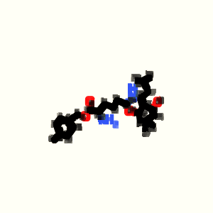 Cc1ccc(COC(=O)C(N)CCCCNC(CC(C)C)=C2C(=O)CC(C)(C)CC2=O)cc1